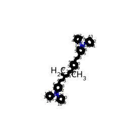 C=CC(/C=C/c1ccc(N(c2ccccc2)c2ccccc2)cc1)=C\C=C(/C)c1ccc(/C=C/c2ccc(N(c3ccccc3)c3ccccc3)cc2)cc1